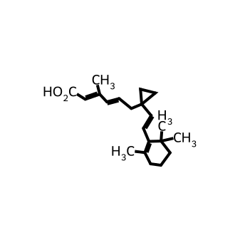 CC1=C(C=CC2(C/C=C/C(C)=C/C(=O)O)CC2)C(C)(C)CCC1